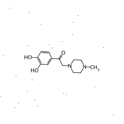 CN1CCN(CC(=O)c2ccc(O)c(O)c2)CC1